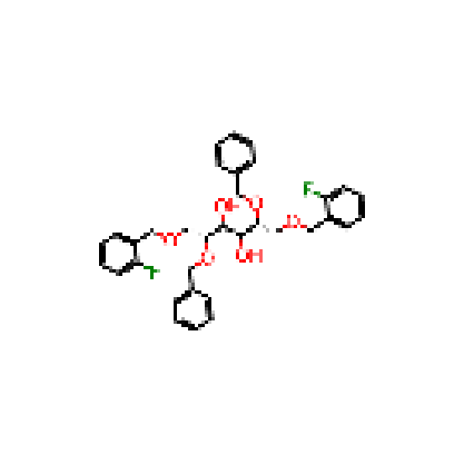 O[C@@H]([C@H](O)[C@@H](COCc1ccccc1F)OCc1ccccc1)[C@@H](COCc1ccccc1F)OCc1ccccc1